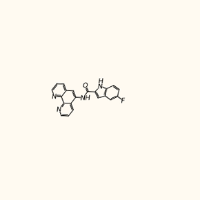 O=C(Nc1cc2cccnc2c2ncccc12)c1cc2cc(F)ccc2[nH]1